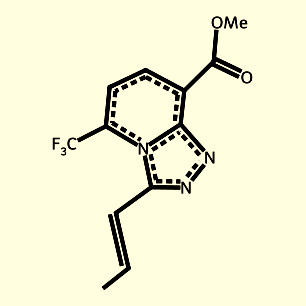 CC=Cc1nnc2c(C(=O)OC)ccc(C(F)(F)F)n12